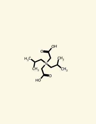 CC(C)C[Si](CC(=O)O)(CC(=O)O)CC(C)C